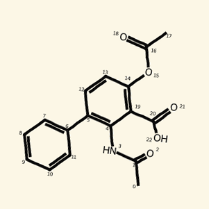 CC(=O)Nc1c(-c2ccccc2)ccc(OC(C)=O)c1C(=O)O